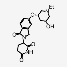 CCN1C[C@@H](O)C[C@H](Oc2ccc3c(c2)CN(C2CCC(=O)NC2=O)C3=O)C1